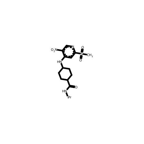 CC(C)NC(=O)C1CCC(Nc2cc(S(C)(=O)=O)ncc2[N+](=O)[O-])CC1